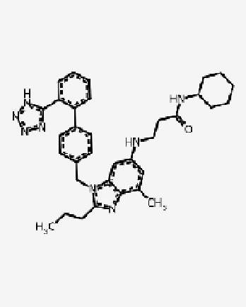 CCCc1nc2c(C)cc(NCCC(=O)NC3CCCCC3)cc2n1Cc1ccc(-c2ccccc2-c2nnn[nH]2)cc1